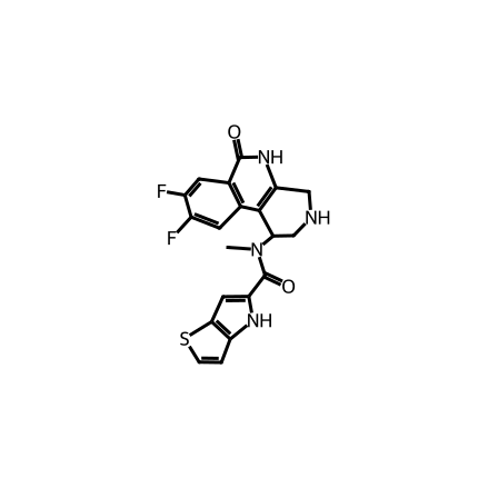 CN(C(=O)c1cc2sccc2[nH]1)C1CNCc2[nH]c(=O)c3cc(F)c(F)cc3c21